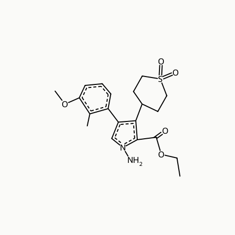 CCOC(=O)c1c(C2CCS(=O)(=O)CC2)c(-c2cccc(OC)c2C)cn1N